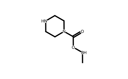 CBOC(=O)N1CCNCC1